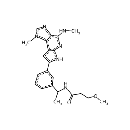 CNc1nc2[nH]c(-c3cccc(C(C)NC(=O)CCOC)c3)cc2c2c1ncn2C